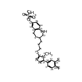 Cn1c(SCCCC2CCc3cc(OS(C)(=O)=O)ccc3NC2)nnc1-c1ccc(F)c(F)c1